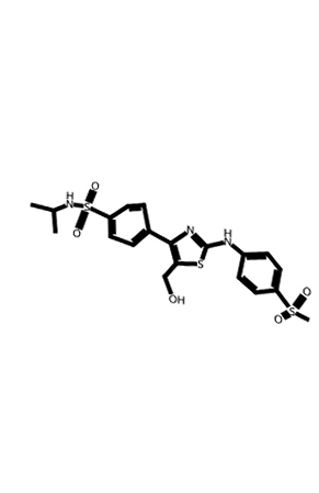 CC(C)NS(=O)(=O)c1ccc(-c2nc(Nc3ccc(S(C)(=O)=O)cc3)sc2CO)cc1